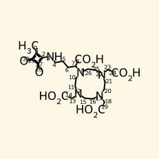 Cc1c(NCCCC(C(=O)O)N2CCN(CC(=O)O)CCN(CC(=O)O)CCN(CC(=O)O)CC2)c(=O)c1=O